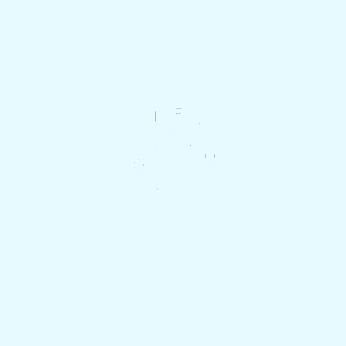 C=Cc1cc2c(s1)C1(OCCO1)C(F)(F)C21OCCO1